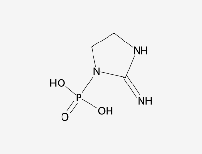 N=C1NCCN1P(=O)(O)O